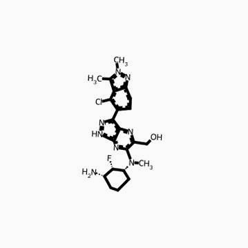 Cc1c2c(Cl)c(-c3n[nH]c4nc(N(C)[C@@H]5CCC[C@H](N)[C@@H]5F)c(CO)nc34)ccc2nn1C